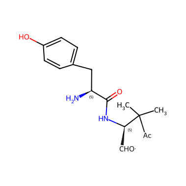 CC(=O)C(C)(C)[C@@H]([C]=O)NC(=O)[C@@H](N)Cc1ccc(O)cc1